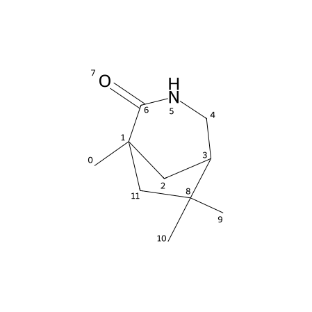 CC12CC(CNC1=O)C(C)(C)C2